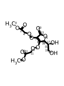 COC(=O)COOC1=C(OOCC(=O)OC)[C@@H]([C@@H](O)CO)OC1=O